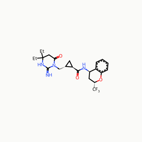 CCC1(CC)CC(=O)N(C[C@@H]2C[C@H]2C(=O)N[C@@H]2C[C@@H](C(F)(F)F)Oc3ccccc32)C(=N)N1